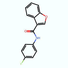 O=C(Nc1ccc(F)cc1)c1coc2ccccc12